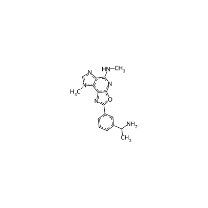 CNc1nc2oc(-c3cccc(C(C)N)c3)nc2c2c1ncn2C